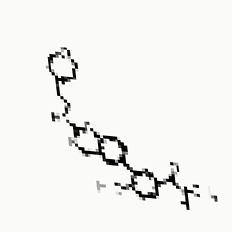 CNC(=O)c1ccc(C)c(-c2ccc3nc(NCCN4CCOCC4)ncc3c2)c1